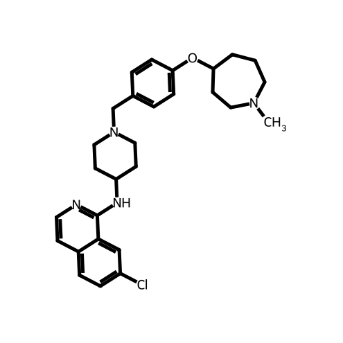 CN1CCCC(Oc2ccc(CN3CCC(Nc4nccc5ccc(Cl)cc45)CC3)cc2)CC1